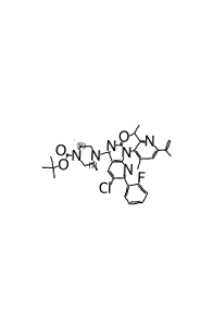 C=C(C)c1cc(C)c(-n2c(=O)nc(N3C[C@@H](C)N(C(=O)OC(C)(C)C)C[C@@H]3C)c3cc(Cl)c(-c4ccccc4F)nc32)c(C(C)C)n1